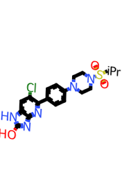 CC(C)S(=O)(=O)N1CCN(c2ccc(-c3nc4nc(O)[nH]c4cc3Cl)cc2)CC1